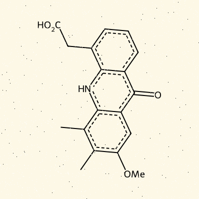 COc1cc2c(=O)c3cccc(CC(=O)O)c3[nH]c2c(C)c1C